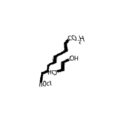 CCCCCCCCCCCCCCCC(=O)O.OCCO